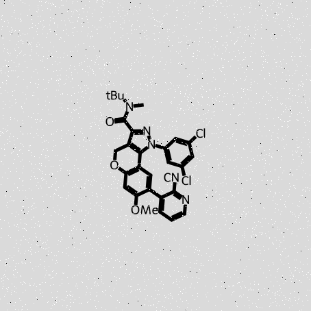 COc1cc2c(cc1-c1cccnc1C#N)-c1c(c(C(=O)N(C)C(C)(C)C)nn1-c1cc(Cl)cc(Cl)c1)CO2